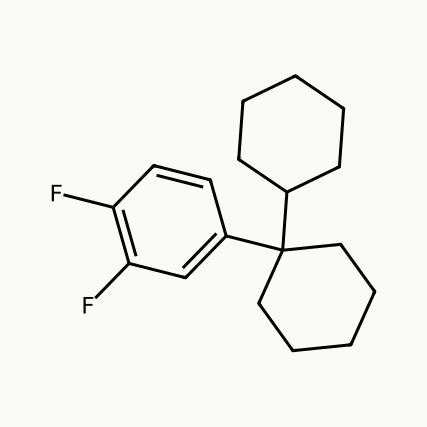 Fc1ccc(C2(C3CCCCC3)CCCCC2)cc1F